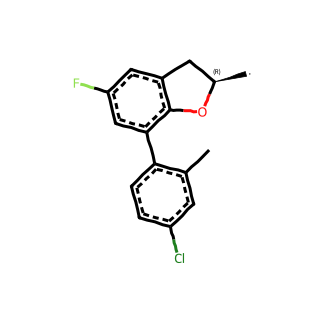 [CH2][C@@H]1Cc2cc(F)cc(-c3ccc(Cl)cc3C)c2O1